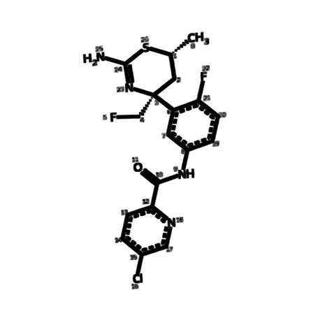 C[C@@H]1C[C@@](CF)(c2cc(NC(=O)c3ccc(Cl)cn3)ccc2F)N=C(N)S1